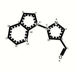 O=Cc1cnn(-n2ccc3cccnc32)c1